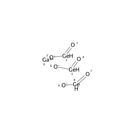 [Ga+3].[O]=[GeH][O-].[O]=[GeH][O-].[O]=[GeH][O-]